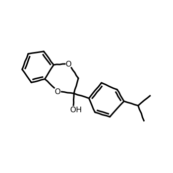 CC(C)c1ccc(C2(O)COc3ccccc3O2)cc1